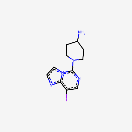 NC1CCN(c2ncc(I)c3nccn23)CC1